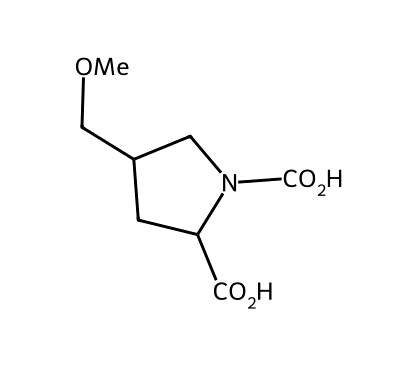 COCC1CC(C(=O)O)N(C(=O)O)C1